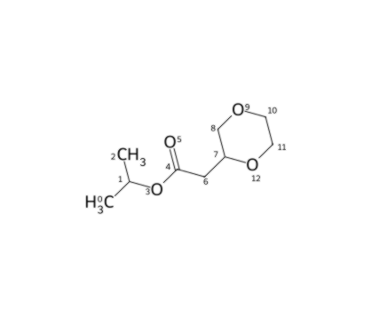 CC(C)OC(=O)CC1COCCO1